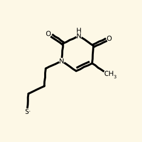 Cc1cn(CCC[S])c(=O)[nH]c1=O